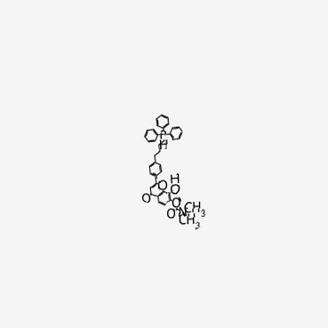 CN(C)C(=O)Oc1ccc2c(=O)cc(-c3ccc(CCCC[PH](c4ccccc4)(c4ccccc4)c4ccccc4)cc3)oc2c1O